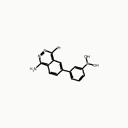 CC(C)c1nnc(N)c2ccc(-c3cccc(B(O)O)c3)cc12